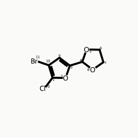 Clc1oc(C2OCCO2)cc1Br